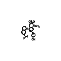 Cc1cc2c(N3CCCC4=C3CC(C(F)F)C=C4)nc(N3CCC(O)C3)cc2n(C)c1=O